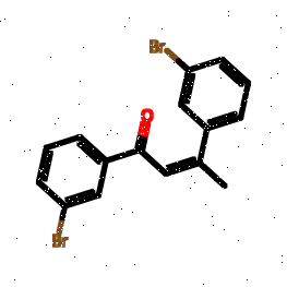 CC(=CC(=O)c1cccc(Br)c1)c1cccc(Br)c1